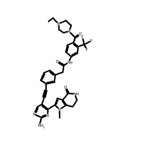 CCN1CCN(C(=O)c2ccc(NC(=O)Cc3cccc(C#Cc4cnc(N)nc4-c4cc5c(n4C)CCNC5=O)c3)cc2C(F)(F)F)CC1